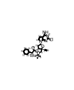 C#C[C@]1(CO[Si](C)(C)C(C)(C)C)O[C@@H](n2ccc3c(N)nc(Cl)nc32)C[C@@H]1OC(=O)Cc1ccccc1